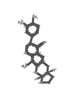 Cc1ccc(-c2coc3c(C)c4c(cc3c2=O)C[C@@H]2CCO[C@@H]2O4)cc1C